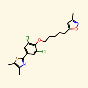 Cc1cc(CCCCCOc2c(Cl)cc(-c3nc(C)c(C)s3)cc2Cl)on1